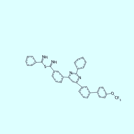 N=C(SC(=N)c1cccc(-c2cc(-c3cccc(-c4ccc(OC(F)(F)F)cc4)c3)nc(-c3ccccc3)n2)c1)c1ccccc1